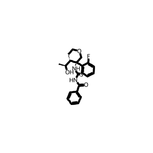 C[C@H](O)[C@@H]1CCOC[C@@]1(NC(=S)NC(=O)c1ccccc1)c1ccccc1F